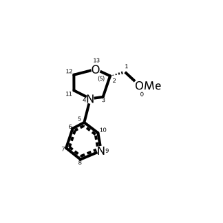 COC[C@@H]1CN(c2cccnc2)CCO1